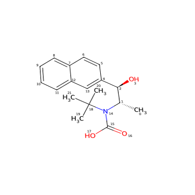 C[C@@H]([C@H](O)c1ccc2ccccc2c1)N(C(=O)O)C(C)(C)C